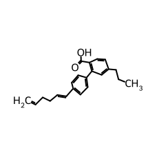 C=CCCC=Cc1ccc(-c2cc(CCC)ccc2C(=O)O)cc1